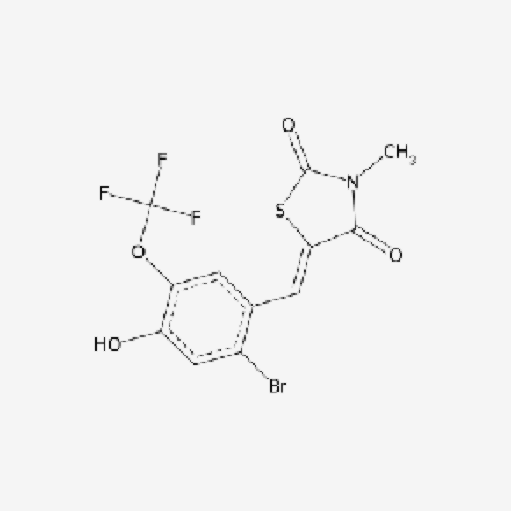 CN1C(=O)S/C(=C\c2cc(OC(F)(F)F)c(O)cc2Br)C1=O